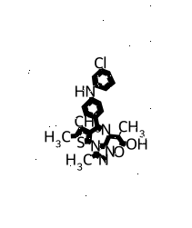 Cc1sc2c(c1C)C(c1ccc(Nc3cccc(Cl)c3)cc1)=NC([C@H](C)C(=O)O)c1nnc(C)n1-2